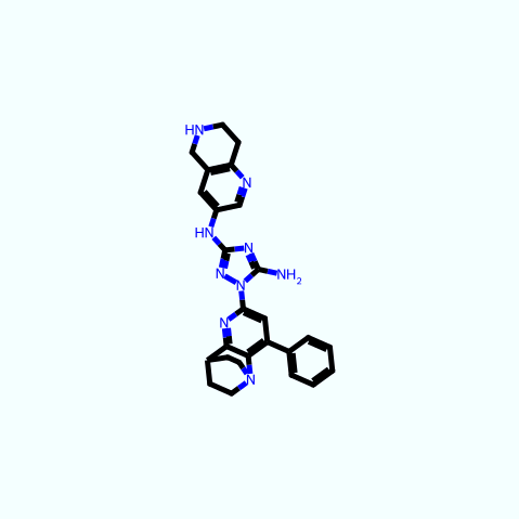 Nc1nc(Nc2cnc3c(c2)CNCC3)nn1-c1cc(-c2ccccc2)c2c(n1)C1CCN2CC1